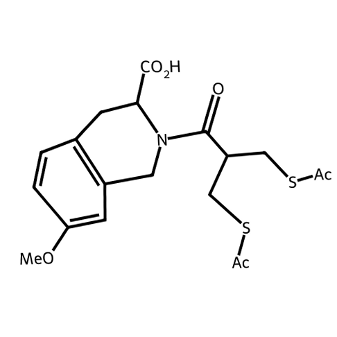 COc1ccc2c(c1)CN(C(=O)C(CSC(C)=O)CSC(C)=O)C(C(=O)O)C2